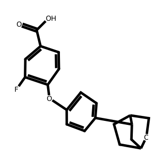 O=C(O)c1ccc(Oc2ccc(C3CC4CCC3CC4)cc2)c(F)c1